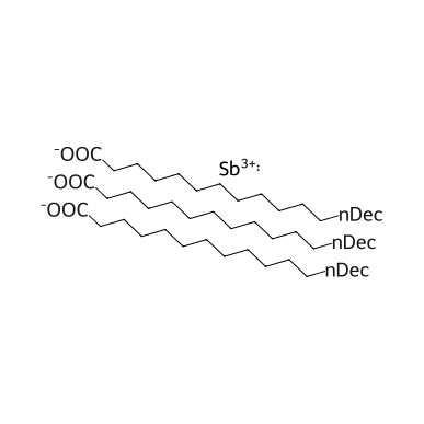 CCCCCCCCCCCCCCCCCCCCCC(=O)[O-].CCCCCCCCCCCCCCCCCCCCCC(=O)[O-].CCCCCCCCCCCCCCCCCCCCCC(=O)[O-].[Sb+3]